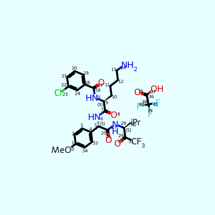 COc1ccc([C@H](NC(=O)[C@H](CCCCN)NC(=O)c2cccc(Cl)c2)C(=O)N[C@H](C(=O)C(F)(F)F)C(C)C)cc1.O=C(O)C(F)(F)F